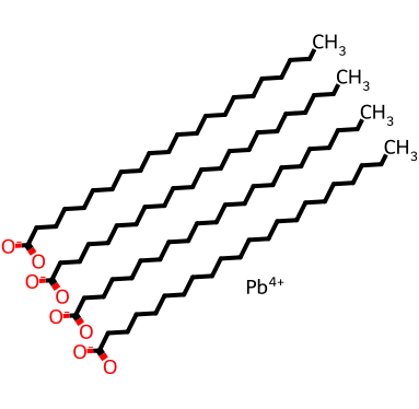 CCCCCCCCCCCCCCCCCCCCCC(=O)[O-].CCCCCCCCCCCCCCCCCCCCCC(=O)[O-].CCCCCCCCCCCCCCCCCCCCCC(=O)[O-].CCCCCCCCCCCCCCCCCCCCCC(=O)[O-].[Pb+4]